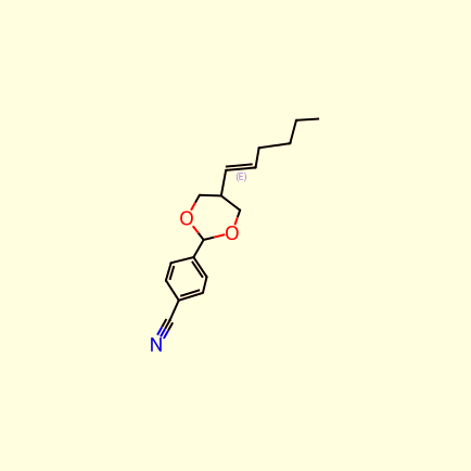 CCCC/C=C/C1COC(c2ccc(C#N)cc2)OC1